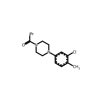 Cc1ccc(N2CCN(C(=O)C(C)C)CC2)cc1Cl